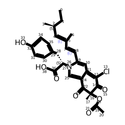 CC[C@H](C)/C=C(C)/C=C/C1=CC2=C(Cl)C(=O)[C@](C)(OC(C)=O)C(=O)C2=CN1[C@@H](Cc1ccc(O)cc1)C(=O)O